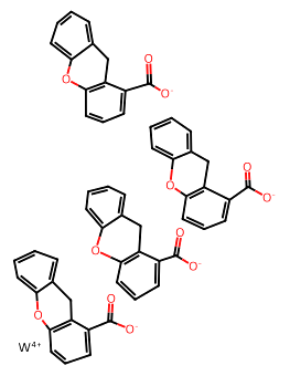 O=C([O-])c1cccc2c1Cc1ccccc1O2.O=C([O-])c1cccc2c1Cc1ccccc1O2.O=C([O-])c1cccc2c1Cc1ccccc1O2.O=C([O-])c1cccc2c1Cc1ccccc1O2.[W+4]